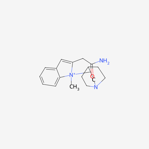 C[N+]1(C2CN3CCC2CC3)C(CC(N)=O)=Cc2ccccc21